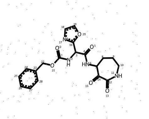 O=C(NC(C(=O)NC1CCCNC(=O)C1=O)c1ncco1)OCc1ccccc1